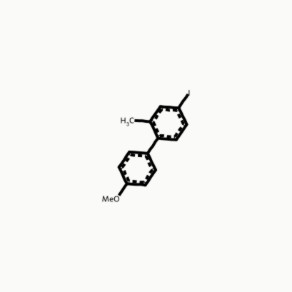 COc1ccc(-c2ccc(I)cc2C)cc1